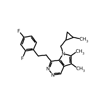 Cc1c(C)n(CC2CC2C)c2c(CCc3ccc(F)cc3F)nncc12